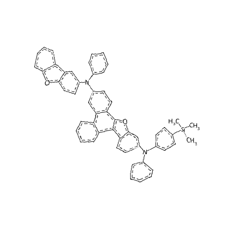 C[Si](C)(C)c1ccc(N(c2ccccc2)c2ccc3c(c2)oc2c4ccc(N(c5ccccc5)c5ccc6oc7ccccc7c6c5)cc4c4ccccc4c32)cc1